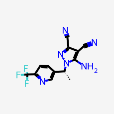 C[C@H](c1ccc(C(F)(F)F)nc1)n1nc(C#N)c(C#N)c1N